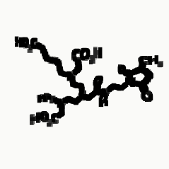 CCCN(CCN(CCN(CCCCC(=O)O)CC(=O)O)CC(=O)NCCN1C(=O)CC(C)C1=O)CC(=O)O